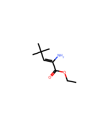 CCOC(=O)C(N)=CC(C)(C)C